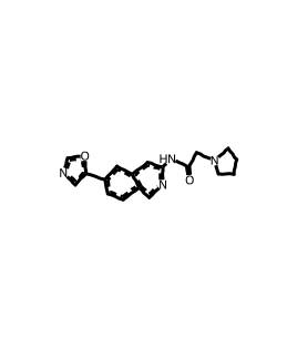 O=C(CN1CCCC1)Nc1cc2cc(-c3cnco3)ccc2cn1